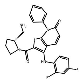 NC[C@@H]1CCCN1C(=O)c1sc2c(ccc(=O)n2-c2ccccc2)c1Nc1ccc(F)cc1F